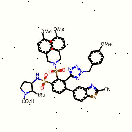 COc1ccc(CN(Cc2ccc(OC)cc2)S(=O)(=O)c2c(S(=O)(=O)NC3CCN(C(=O)O)C3C(C)(C)C)ccc(-c3ccc4sc(C#N)nc4c3)c2-c2nnn(Cc3ccc(OC)cc3)n2)cc1